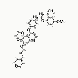 COc1cccc(C(C)NC(=O)Nc2ccc(Oc3ncnc4cc(OCCCN5CCOCC5)c5c(c34)OCCO5)cc2)c1